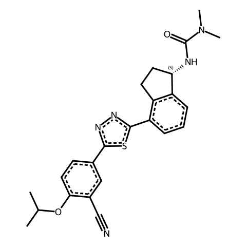 CC(C)Oc1ccc(-c2nnc(-c3cccc4c3CC[C@@H]4NC(=O)N(C)C)s2)cc1C#N